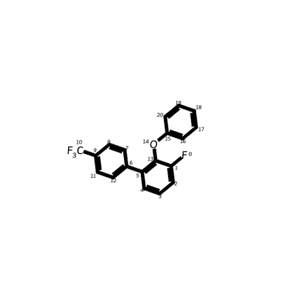 Fc1cc[c]c(-c2ccc(C(F)(F)F)cc2)c1Oc1ccccc1